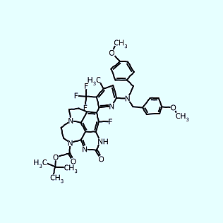 COc1ccc(CN(Cc2ccc(OC)cc2)c2cc(C)c(C(F)(F)F)c(-c3c4c5c6c(nc(=O)[nH]c6c3F)N(C(=O)OC(C)(C)C)CCN5CC4)n2)cc1